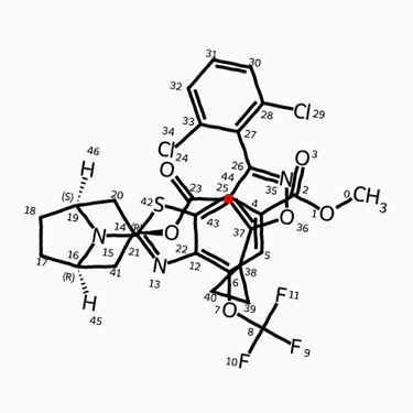 COC(=O)c1cc(OC(F)(F)F)c2nc(N3[C@@H]4CC[C@H]3C[C@@H](OC(=O)c3c(-c5c(Cl)cccc5Cl)noc3C3CC3)C4)sc2c1